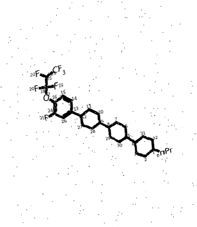 CCCC1CCC(C2CCC(C3CCC(c4ccc(OC(F)(F)C(F)C(F)(F)F)c(F)c4)CC3)CC2)CC1